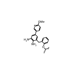 COc1ccc(-c2cc(N)c(N)c(Cc3ccccc3OC(F)F)c2)cn1